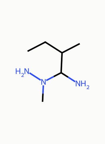 CCC(C)C(N)N(C)N